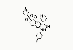 Cn1ccc(S(=O)(=O)N2CCC3=CC(Nc4ccc(F)cc4)=C(C=N)C[C@]3(C(=O)c3ccccn3)C2)n1